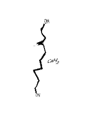 OCCCCCCCCCO.[CaH2]